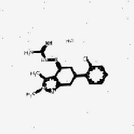 Cc1c2c(nn1C)CC(c1ccccc1Cl)C/C2=N/NC(=N)N.Cl